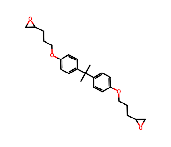 CC(C)(c1ccc(OCCCC2CO2)cc1)c1ccc(OCCCC2CO2)cc1